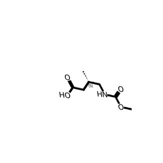 COC(=O)NC[C@@H](C)CC(=O)O